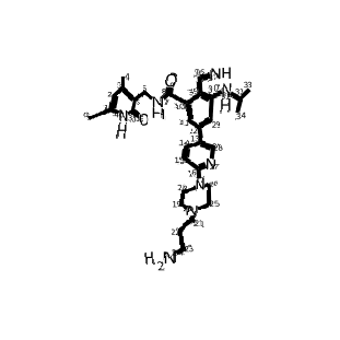 Cc1cc(C)c(CNC(=O)c2cc(-c3ccc(N4CCN(CCCN)CC4)nc3)cc(NC(C)C)c2C=N)c(=O)[nH]1